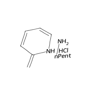 C=C1C=CC=CN1.CCCCCN.Cl